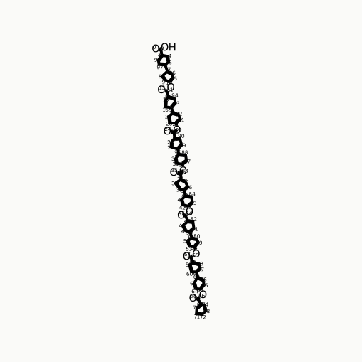 O=C(O)c1ccc(-c2ccc(OC(=O)c3ccc(-c4ccc(OC(=O)c5ccc(-c6ccc(OC(=O)c7ccc(-c8ccc(OC(=O)c9ccc(-c%10ccc(OC(=O)c%11ccc(-c%12ccc(OC(=O)c%13ccccc%13)cc%12)cc%11)cc%10)cc9)cc8)cc7)cc6)cc5)cc4)cc3)cc2)cc1